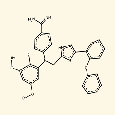 CCOc1cc(OC(C)C)c(F)c(N(Cc2nc(-c3ccccc3Oc3ccccc3)c[nH]2)c2ccc(C(=N)N)cc2)c1